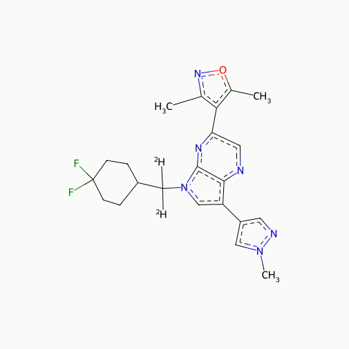 [2H]C([2H])(C1CCC(F)(F)CC1)n1cc(-c2cnn(C)c2)c2ncc(-c3c(C)noc3C)nc21